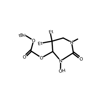 CCC1(CC)CN(C)C(=O)N(O)C1OC(=O)OC(C)(C)C